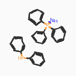 N=P(c1ccccc1)(c1ccccc1)c1ccccc1.c1ccc(Pc2ccccc2)cc1